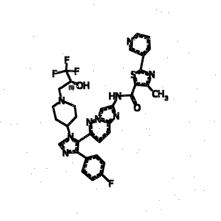 Cc1nc(-c2cccnc2)sc1C(=O)Nc1cn2nc(-c3c(-c4ccc(F)cc4)ncn3C3CCN(C[C@H](O)C(F)(F)F)CC3)ccc2n1